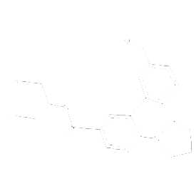 COc1cccc(-c2cc(C(=O)N[C@H](CO)CC(C)C)cnc2N2CCCC2)c1